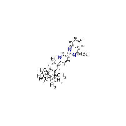 CCc1cc2c(cc1-c1ccc(-c3nc(C(C)(C)C)c4ccccc4n3)cn1)C(C)(C)C(C)(C)C2(C)C